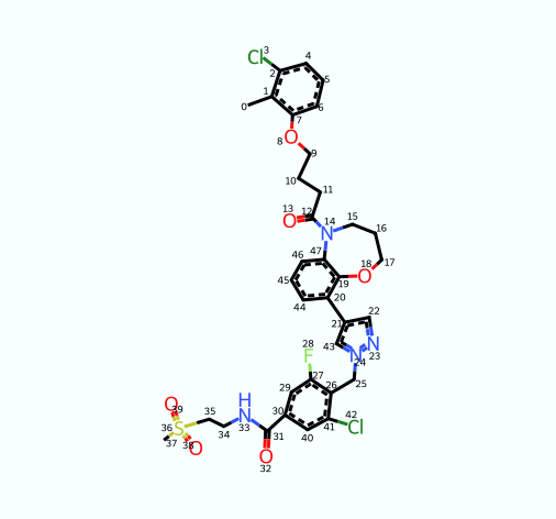 Cc1c(Cl)cccc1OCCCC(=O)N1CCCOc2c(-c3cnn(Cc4c(F)cc(C(=O)NCCS(C)(=O)=O)cc4Cl)c3)cccc21